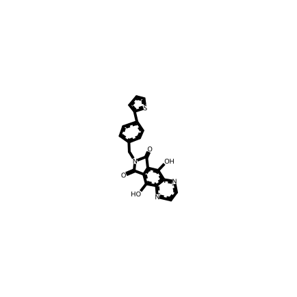 O=C1c2c(c(O)c3nccnc3c2O)C(=O)N1Cc1ccc(-c2cccs2)cc1